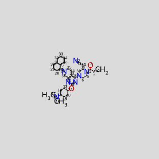 C=CC(=O)N1CCN(c2nc(O[C@H]3CC[C@H](N(C)C)CC3)nc3c2CCN(c2cccc4ccccc24)C3)CC1CC#N